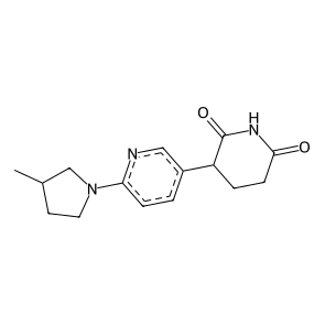 CC1CCN(c2ccc(C3CCC(=O)NC3=O)cn2)C1